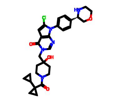 O=C(N1CCC(O)(Cn2cnc3c(cc(Cl)n3-c3ccc([C@H]4COCCN4)cc3)c2=O)CC1)C1(C2CC2)CC1